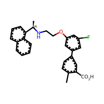 Cc1ccc(-c2cc(F)cc(OCCN[C@H](C)c3cccc4ccccc34)c2)cc1C(=O)O